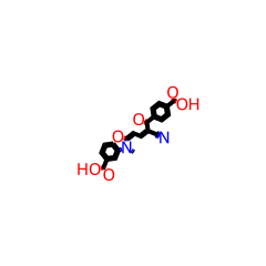 CN1C(=CC=C(C#N)C(=O)c2ccc(C(=O)O)cc2)Oc2ccc(C(=O)O)cc21